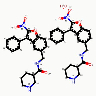 O.O=C(NCc1ccc2oc([N+](=O)[O-])c(-c3ccccc3)c2c1)C1CCCNC1.O=C(NCc1ccc2oc([N+](=O)[O-])c(-c3ccccc3)c2c1)C1CCCNC1